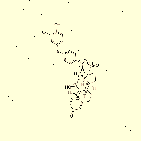 C[C@]12C=CC(=O)C=C1CC[C@H]1[C@@H]3CC[C@](OC(=O)c4ccc(Sc5ccc(O)c(Cl)c5)cc4)(C(=O)O)[C@@]3(C)C[C@H](O)[C@@]12F